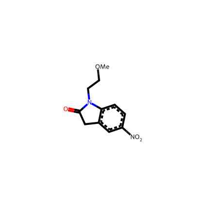 COCCN1C(=O)Cc2cc([N+](=O)[O-])ccc21